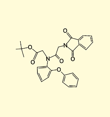 CC(C)(C)OC(=O)CN(C(=O)CN1C(=O)c2ccccc2C1=O)c1ccccc1Oc1ccccc1